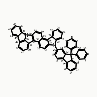 c1ccc(C2(c3ccccc3)c3ccccc3-c3ccc(-n4c5ccccc5c5c6ccc7c(c6ccc54)c4cccc5c6ccccc6n7c54)cc32)cc1